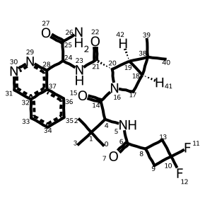 CC(C)(C)C(NC(=O)C1CC(F)(F)C1)C(=O)N1C[C@H]2[C@@H]([C@H]1C(=O)NC(C(N)=O)c1nncc3ccccc13)C2(C)C